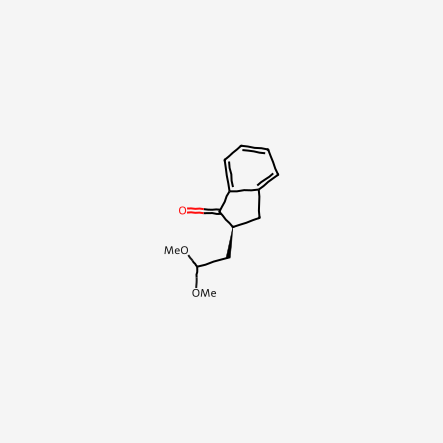 COC(C[C@@H]1Cc2ccccc2C1=O)OC